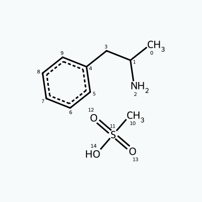 CC(N)Cc1ccccc1.CS(=O)(=O)O